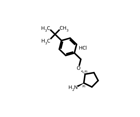 CC(C)(C)c1ccc(CO[C@@H]2CCC[C@H]2N)cc1.Cl